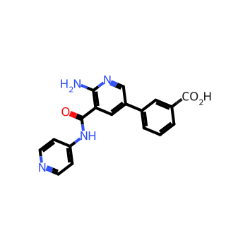 Nc1ncc(-c2cccc(C(=O)O)c2)cc1C(=O)Nc1ccncc1